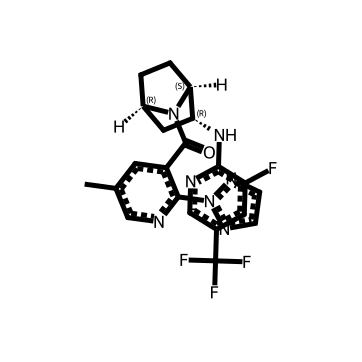 Cc1cnc(-n2nccn2)c(C(=O)N2[C@@H]3CC[C@H]2[C@H](Nc2ncc(C(F)(F)F)cc2F)C3)c1